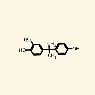 CC(C)(C)c1cc(C(C)(C)c2ccc(O)cc2)ccc1O